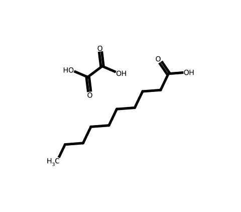 CCCCCCCCCC(=O)O.O=C(O)C(=O)O